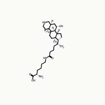 C[C@H](CCCC(=O)NCCCC[C@H](N)C(=O)O)[C@H]1CC[C@H]2[C@@H]3[C@@H](O)C[C@@H]4CNCC[C@]4(C)[C@H]3CC[C@]12C